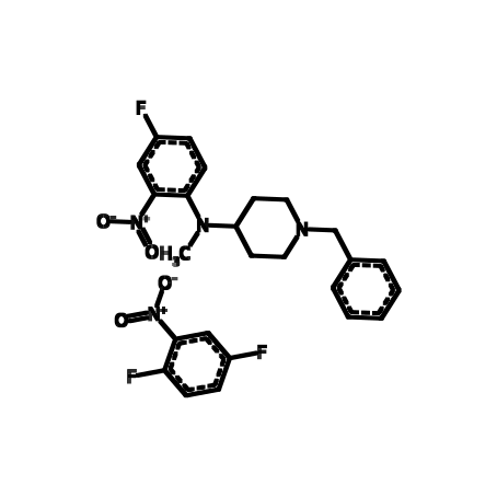 CN(c1ccc(F)cc1[N+](=O)[O-])C1CCN(Cc2ccccc2)CC1.O=[N+]([O-])c1cc(F)ccc1F